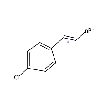 CCC/C=C/c1ccc(Cl)cc1